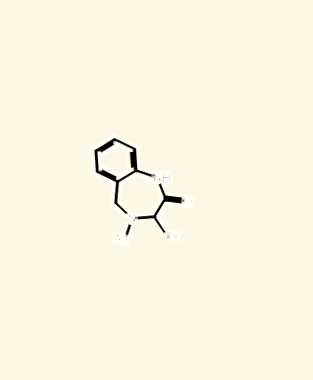 CCC(C)C1C(=O)Nc2ccccc2CN1C(C)=O